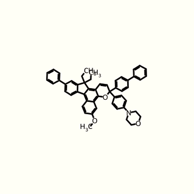 CCC1(CC)c2cc(-c3ccccc3)ccc2-c2c1c1c(c3cc(OC)ccc23)OC(c2ccc(-c3ccccc3)cc2)(c2ccc(N3CCOCC3)cc2)C=C1